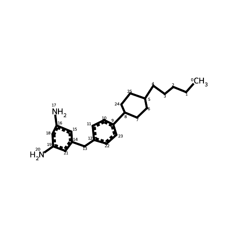 CCCCCC1CCC(c2ccc(Cc3cc(N)cc(N)c3)cc2)CC1